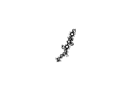 COc1cc(N2Cc3cn(-c4ccc(Cl)cc4)nc3C2=O)ccc1OCC(C)OCOCC[Si](C)(C)C